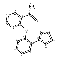 NC(=O)c1cccnc1Oc1ccccc1-n1cccn1